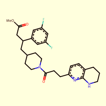 COC(=O)CC(CC1CCN(C(=O)CCc2ccc3c(n2)NCCC3)CC1)c1cc(F)cc(F)c1